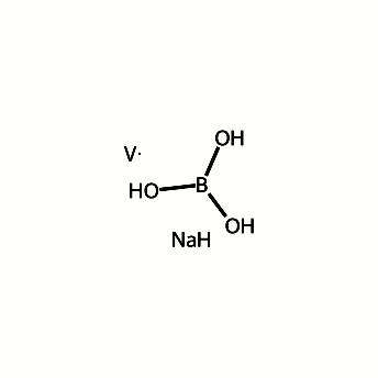 OB(O)O.[NaH].[V]